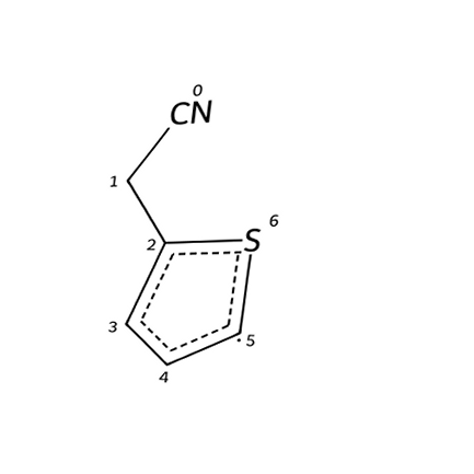 N#CCc1cc[c]s1